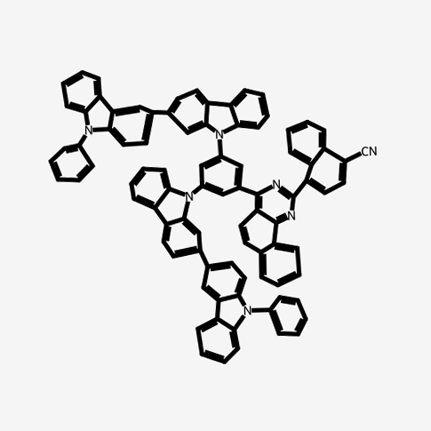 N#Cc1ccc(-c2nc(-c3cc(-n4c5ccccc5c5ccc(-c6ccc7c(c6)c6ccccc6n7-c6ccccc6)cc54)cc(-n4c5ccccc5c5ccc(-c6ccc7c(c6)c6ccccc6n7-c6ccccc6)cc54)c3)c3ccc4ccccc4c3n2)c2ccccc12